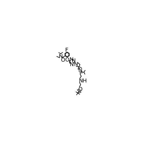 CCN(C(=O)c1cc(F)ccc1Oc1cnc(N2CCC3(C2)CN([C@H](CCCNCCCO[Si](C)(C)C(C)(C)C)C(C)C)C3)nn1)C(C)C